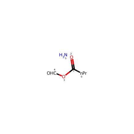 CCCC(=O)OC=O.N